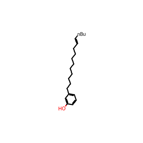 CCCC/C=C/CCCCCCCCCc1cccc(O)c1